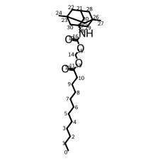 CCCCCCCCCCCC(=O)OCOC(=O)NC12CC3CC(C)(CC(C)(C3)C1)C2